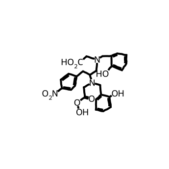 O=C(O)CN(Cc1ccccc1O)CC(Cc1ccc([N+](=O)[O-])cc1)N(CC(=O)OO)Cc1ccccc1O